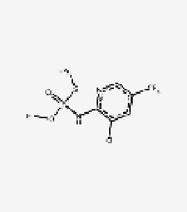 CCCSP(=O)(Nc1ncc(C(F)(F)F)cc1Cl)OCC